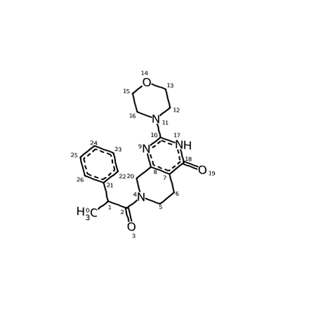 CC(C(=O)N1CCc2c(nc(N3CCOCC3)[nH]c2=O)C1)c1ccccc1